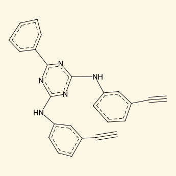 C#Cc1cccc(Nc2nc(Nc3cccc(C#C)c3)nc(-c3ccccc3)n2)c1